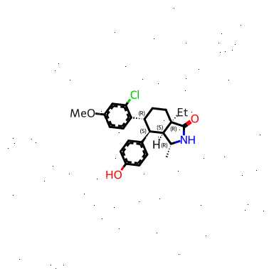 CC[C@@]12CC[C@@H](c3ccc(OC)cc3Cl)[C@H](c3ccc(O)cc3)[C@@H]1[C@@H](C)NC2=O